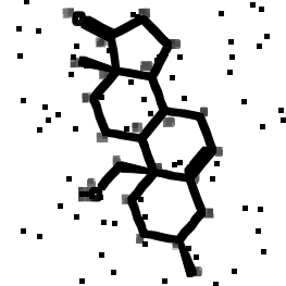 C[C@H]1CC[C@@]2(CO)C(=CCC3C2CC[C@]2(C)C(=O)CCC32)C1